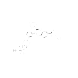 CCOC(=O)c1ccc(CN(C(=O)N2CCOCC2)c2cccc(C3CCN(CC(C)(C)O)CC3)c2)cc1